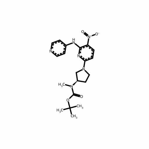 CN(C(=O)OC(C)(C)C)[C@@H]1CCN(c2ccc([N+](=O)[O-])c(Nc3ccncc3)n2)C1